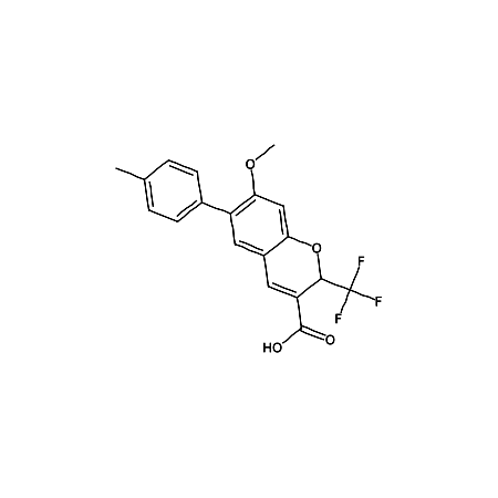 COc1cc2c(cc1-c1ccc(C)cc1)C=C(C(=O)O)C(C(F)(F)F)O2